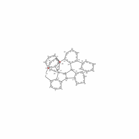 Cc1cccc2c1N(c1cccc[n+]1C)B1N2c2ccccc2N1c1c(-c2ccccc2)cccc1-c1ccccc1